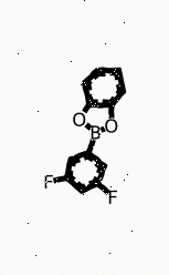 Fc1cc(F)cc(B2Oc3ccccc3O2)c1